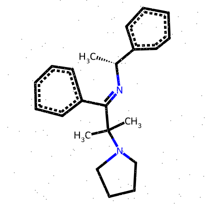 C[C@@H](/N=C(\c1ccccc1)C(C)(C)N1CCCC1)c1ccccc1